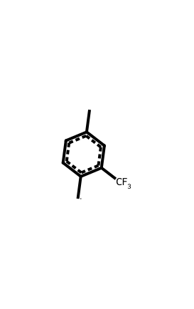 [CH2]c1ccc(C)cc1C(F)(F)F